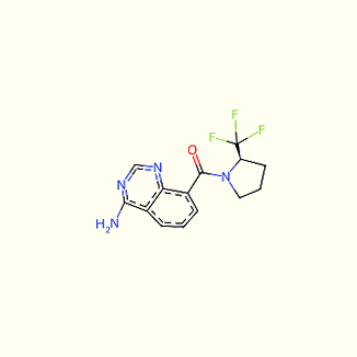 Nc1ncnc2c(C(=O)N3CCC[C@@H]3C(F)(F)F)cccc12